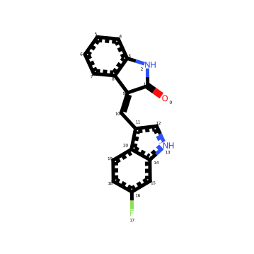 O=C1Nc2ccccc2/C1=C/c1c[nH]c2cc(F)ccc12